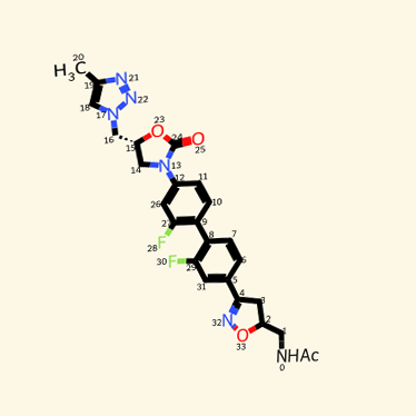 CC(=O)NCC1CC(c2ccc(-c3ccc(N4C[C@H](Cn5cc(C)nn5)OC4=O)cc3F)c(F)c2)=NO1